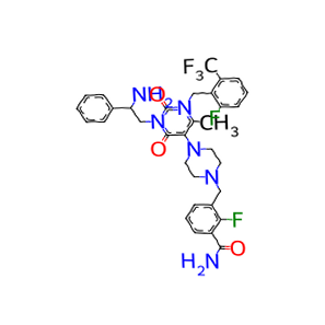 Cc1c(N2CCN(Cc3cccc(C(N)=O)c3F)CC2)c(=O)n(CC(N)c2ccccc2)c(=O)n1Cc1c(F)cccc1C(F)(F)F